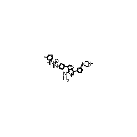 Cc1cccc(NC(=O)Nc2ccc(-c3csc4c(-c5cccc(CN6CCN(C)CC6)c5)cnc(N)c34)cc2)c1